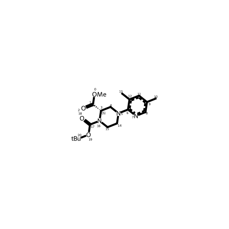 COC(=O)[C@@H]1CN(c2ncc(C)cc2C)CCN1C(=O)OC(C)(C)C